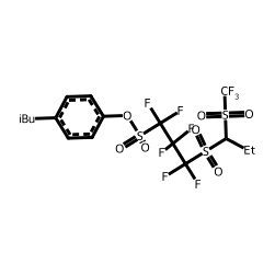 CCC(C)c1ccc(OS(=O)(=O)C(F)(F)C(F)(F)C(F)(F)S(=O)(=O)C(CC)S(=O)(=O)C(F)(F)F)cc1